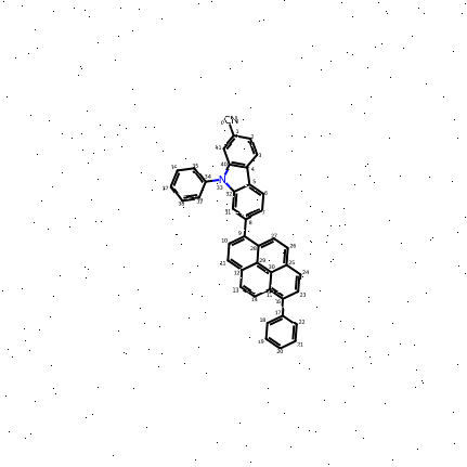 N#Cc1ccc2c3ccc(-c4ccc5ccc6c(-c7ccccc7)ccc7ccc4c5c76)cc3n(-c3ccccc3)c2c1